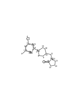 Cc1cc(Cl)nc(N2CCC(CN3CCCC3=O)CC2)n1